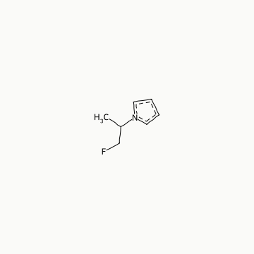 CC(CF)n1cccc1